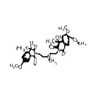 COc1ccc2c(c1)C(=O)N(CCN(C)CCN1C(=O)c3cc(OC)c(OC)cc3C(C)(C)C1=O)C(=O)C2(C)C